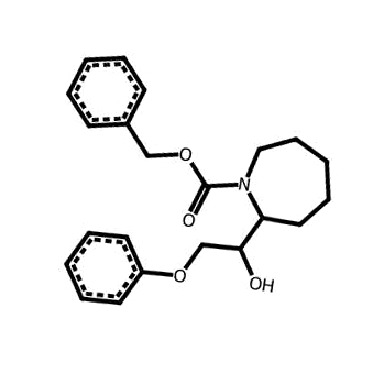 O=C(OCc1ccccc1)N1CCCCCC1C(O)COc1ccccc1